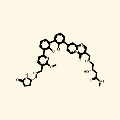 CNC(=O)C[C@H](O)CNCc1cnc2cc(-c3cccc(-c4cccc(-c5ccc(CNC[C@@H]6CCC(=O)N6)c(OC)n5)c4Cl)c3Cl)ccn2c1=O